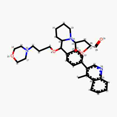 Cc1c(-c2ccc(C(OCCCN3CCOCC3)C3CCCCN3C3CO[C@@H](C=O)C3)cc2)cnc2ccccc12